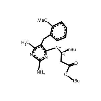 CCCC[C@@H](CC(=O)OC(C)(C)C)Nc1nc(N)nc(C)c1Cc1ccccc1OC